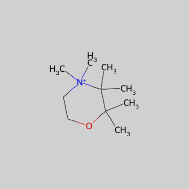 CC1(C)OCC[N+](C)(C)C1(C)C